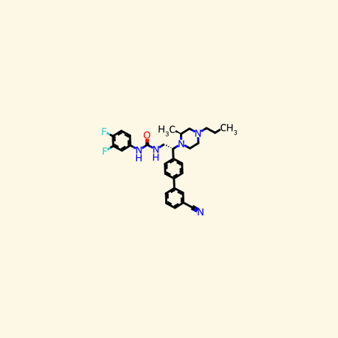 CCCN1CCN([C@@H](CNC(=O)Nc2ccc(F)c(F)c2)c2ccc(-c3cccc(C#N)c3)cc2)[C@@H](C)C1